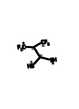 FC(F)(F)C(C(S)S)C(F)(F)F